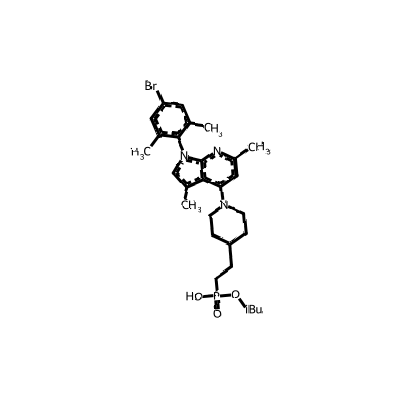 CCC(C)OP(=O)(O)CCC1CCN(c2cc(C)nc3c2c(C)cn3-c2c(C)cc(Br)cc2C)CC1